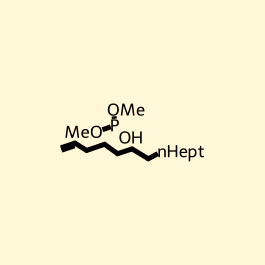 C=CCCCCCCCCCCCC.COP(O)OC